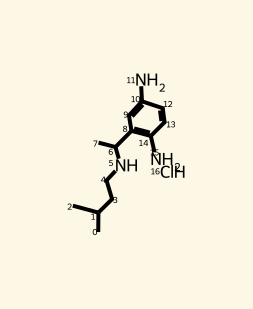 CC(C)CCNC(C)c1cc(N)ccc1N.Cl